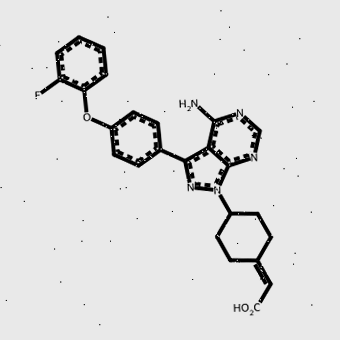 Nc1ncnc2c1c(-c1ccc(Oc3ccccc3F)cc1)nn2C1CCC(=CC(=O)O)CC1